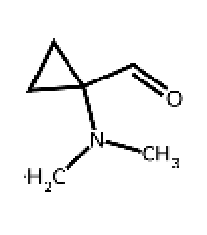 [CH2]N(C)C1(C=O)CC1